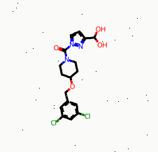 O=C(N1CCC(OCc2cc(Cl)cc(Cl)c2)CC1)n1ccc(C(O)O)n1